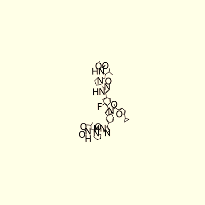 COC(=O)N[C@H](C(=O)N1CCC[C@H]1c1ncc(-c2cc(F)c3c(c2)OC(c2ccc(C4CC4)o2)n2c-3cc3cc(-c4cnc([C@@H]5CCCN5C(=O)[C@@H](NC(=O)OC)C(C)C)[nH]4)ccc32)[nH]1)C(C)C